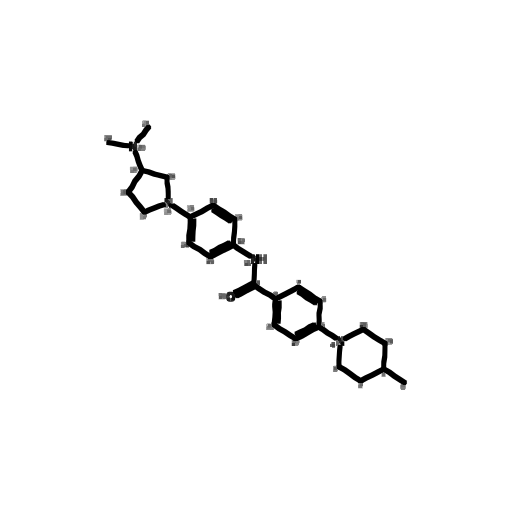 CC1CCN(c2ccc(C(=O)Nc3ccc(N4CCC(N(C)C)C4)cc3)cc2)CC1